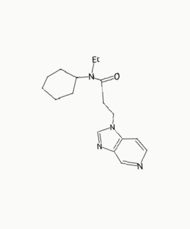 CCN(C(=O)CCn1cnc2cnccc21)C1CCCCC1